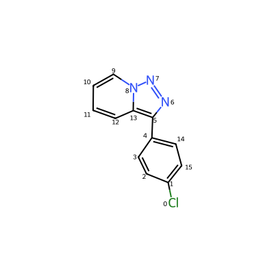 Clc1ccc(-c2nnn3ccccc23)cc1